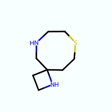 C1CSCCC2(CCN2)CN1